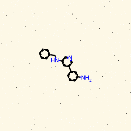 Nc1cccc(-c2cncc(NCc3ccccc3)c2)c1